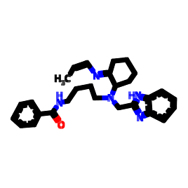 C/C=C\N=C1/CCCCC1N(CCCCNC(=O)c1ccccc1)Cc1nc2ccccc2[nH]1